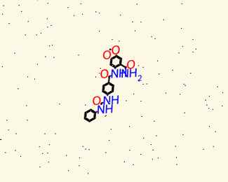 NC(=O)c1cc2c(cc1NC(=O)c1ccc(NC(=O)Nc3ccccc3)cc1)OCO2